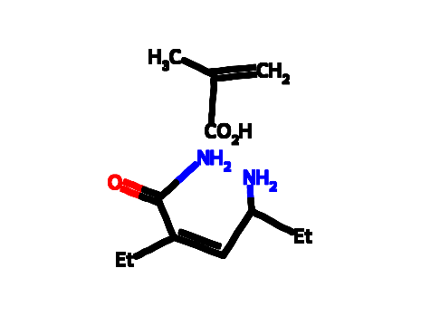 C=C(C)C(=O)O.CCC(=CC(N)CC)C(N)=O